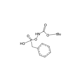 CC(C)(C)OC(=O)NOP(=O)(O)Cc1ccccc1